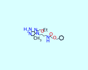 CCOCc1nc2c(N)ncc(C)c2n1CCCCNC(=O)COCc1ccccc1